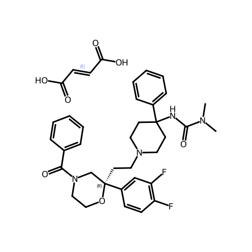 CN(C)C(=O)NC1(c2ccccc2)CCN(CC[C@@]2(c3ccc(F)c(F)c3)CN(C(=O)c3ccccc3)CCO2)CC1.O=C(O)/C=C/C(=O)O